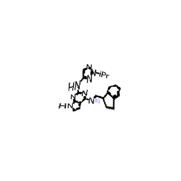 CC(C)n1ncc(Nc2nc(/N=C/C3CCc4ccccc43)c3cc[nH]c3n2)n1